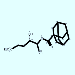 CCOC(=O)CC[C@H](O)C(N)OC(=O)C12CC3CC(CC(C3)C1)C2